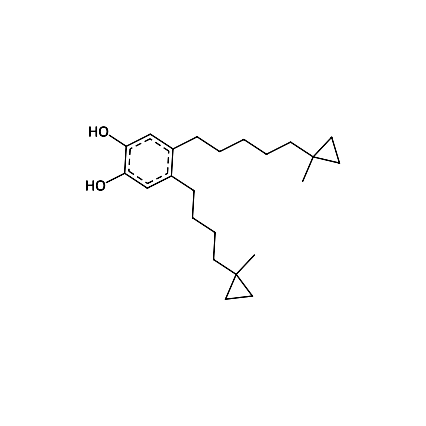 CC1(CCCCCc2cc(O)c(O)cc2CCCCC2(C)CC2)CC1